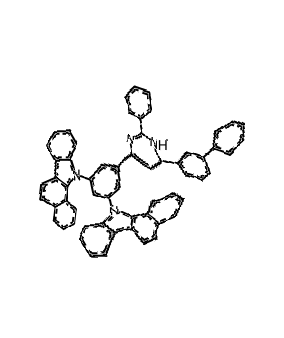 C1=C(c2cc(-n3c4ccccc4c4ccc5ccccc5c43)cc(-n3c4ccccc4c4ccc5ccccc5c43)c2)N=C(c2ccccc2)NC1c1cccc(-c2ccccc2)c1